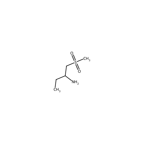 CCC(N)CS(C)(=O)=O